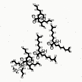 CC(C)CCCCCC(S)(CCCCCC(C)C)C(=O)[O-].CC(C)CCCCCC(S)(CCCCCC(C)C)C(=O)[O-].CCCCC(CC)CC(S)(CC(CC)CCCC)C(=O)[O-].CCCCC(CC)CC(S)(CC(CC)CCCC)C(=O)[O-].CCC[CH2][Sn+2][CH2]CCC.[CH3][Sn+2][CH3]